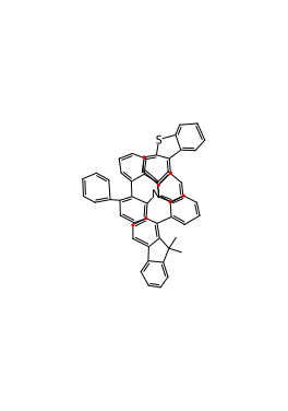 CC1(C)c2ccccc2-c2cccc(-c3ccccc3N(c3ccc4sc5ccccc5c4c3)c3cccc(-c4ccccc4)c3-c3ccccc3-c3ccccc3)c21